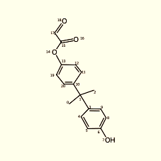 CC(C)(c1ccc(O)cc1)c1ccc(OC(=O)[C]=O)cc1